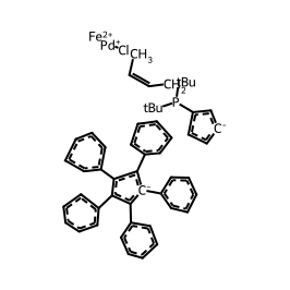 CC(C)(C)P(c1cc[cH-]c1)C(C)(C)C.[CH2-]/C=C\C.[Cl][Pd+].[Fe+2].c1ccc(-c2c(-c3ccccc3)c(-c3ccccc3)[c-](-c3ccccc3)c2-c2ccccc2)cc1